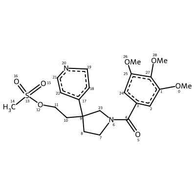 COc1cc(C(=O)N2CCC(CCOS(C)(=O)=O)(c3ccncc3)C2)cc(OC)c1OC